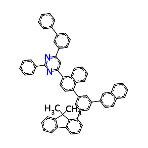 CC1(C)c2ccccc2-c2cccc(-c3cc(-c4ccc5ccccc5c4)cc(-c4ccc(-c5cc(-c6cccc(-c7ccccc7)c6)nc(-c6ccccc6)n5)c5ccccc45)c3)c21